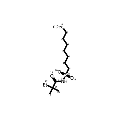 CCCCCCCCCCCCCCCCCS(=O)(=O)NC(=O)C(C)(C)CC